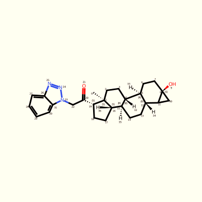 C[C@]12CC[C@@H]3[C@H]4CC[C@]5(O)CC5[C@@H]4CC[C@H]3[C@@H]1CC[C@@H]2C(=O)Cn1nnc2ccccc21